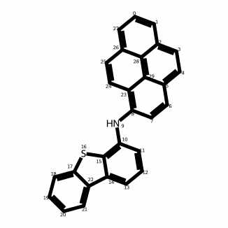 c1cc2ccc3ccc(Nc4cccc5c4sc4ccccc45)c4ccc(c1)c2c34